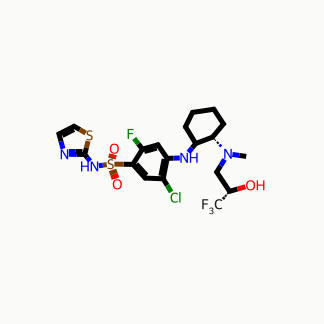 CN(C[C@H](O)C(F)(F)F)[C@H]1CCCCC1Nc1cc(F)c(S(=O)(=O)Nc2nccs2)cc1Cl